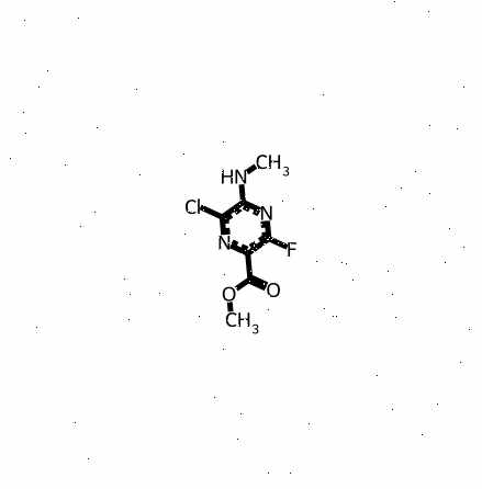 CNc1nc(F)c(C(=O)OC)nc1Cl